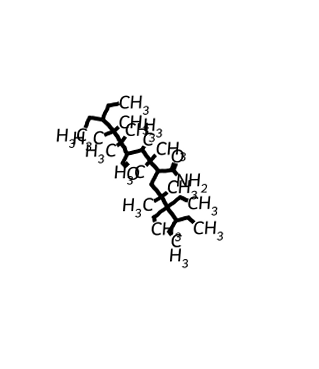 CCC(CC)C(C)(C)C(C)(C)C(C=O)C(C)C(C)(C)C(CC(C)(C)C(CC)(CC)C(CC)CC)C(N)=O